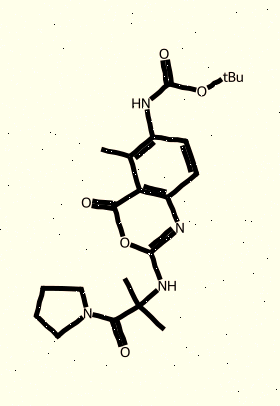 Cc1c(NC(=O)OC(C)(C)C)ccc2nc(NC(C)(C)C(=O)N3CCCC3)oc(=O)c12